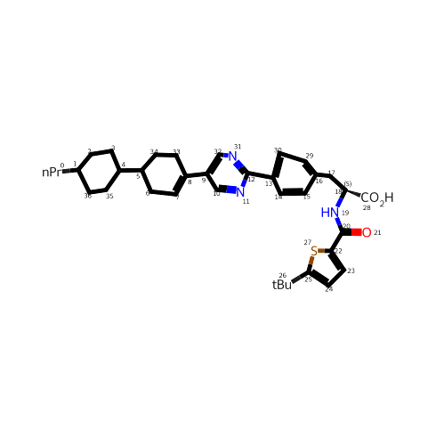 CCCC1CCC(C2CC=C(c3cnc(-c4ccc(C[C@H](NC(=O)c5ccc(C(C)(C)C)s5)C(=O)O)cc4)nc3)CC2)CC1